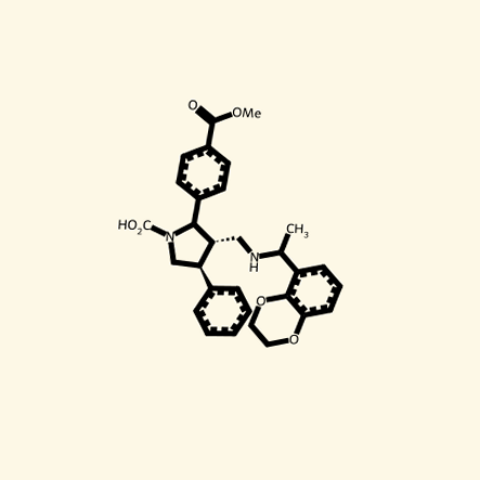 COC(=O)c1ccc(C2[C@H](CNC(C)c3cccc4c3OCCO4)[C@@H](c3ccccc3)CN2C(=O)O)cc1